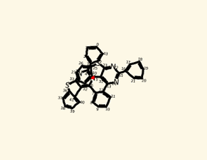 c1ccc(-c2nc(-c3ccccc3-c3nc(-c4ccccc4)nc4sc5ccccc5c34)c3c(n2)sc2ccccc23)cc1